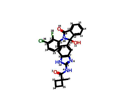 CC1(C(=O)Nc2nc3cc(C4(O)c5ccccc5C(=O)N4c4cccc(Cl)c4F)ccc3[nH]2)CCC1